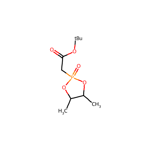 CC1OP(=O)(CC(=O)OC(C)(C)C)OC1C